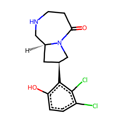 O=C1CCNC[C@@H]2C[C@H](c3c(O)ccc(Cl)c3Cl)CN12